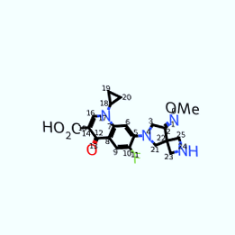 CO/N=C1\CN(c2cc3c(cc2F)c(=O)c(C(=O)O)cn3C2CC2)CC12CNC2